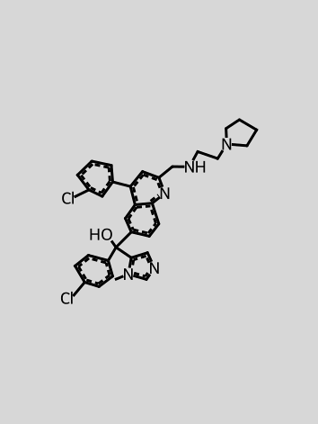 Cn1cncc1C(O)(c1ccc(Cl)cc1)c1ccc2nc(CNCCN3CCCC3)cc(-c3cccc(Cl)c3)c2c1